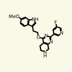 COc1ccc2c(CCOc3nc(-c4cncc(F)c4)nc4c3CCNC4)c[nH]c2c1